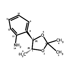 [CH2][C@H]1OC(C)(C)O[C@@H]1c1ccccc1N